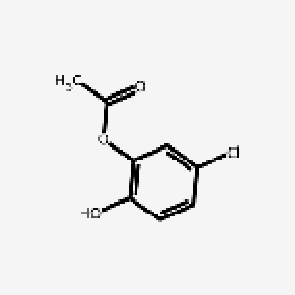 CC(=O)Oc1cc(Cl)ccc1O